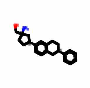 N[C@]1(CO)CC[C@H](c2ccc3c(c2)CC[C@@H](c2ccccc2)C3)C1